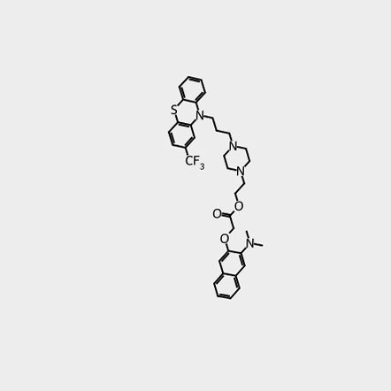 CN(C)c1cc2ccccc2cc1OCC(=O)OCCN1CCN(CCCN2c3ccccc3Sc3ccc(C(F)(F)F)cc32)CC1